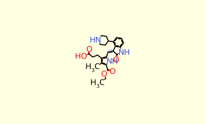 CCOC(=O)c1[nH]c(/C=C2\C(=O)Nc3cccc(C4CCNCC4)c32)c(CCC(=O)O)c1C